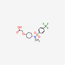 CN([C@H]1CC[C@H](OCC(=O)O)CC1)S(=O)(=O)c1ccc(C(F)(F)F)cc1